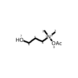 CC(=O)O[N+](C)(C)CCCO